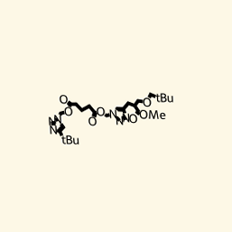 COC(=O)C(COCC(C)(C)C)Cc1cn(COC(=O)CCCC(=O)OCn2cc(C(C)(C)C)nn2)nn1